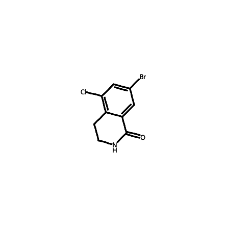 O=C1NCCc2c(Cl)cc(Br)cc21